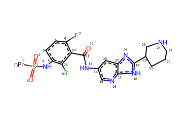 CCCS(=O)(=O)Nc1ccc(F)c(C(=O)Nc2cnc3[nH]c(C4CCCNC4)nc3c2)c1F